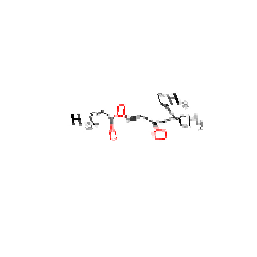 C=C(C)C(=O)C=COC(=O)CC